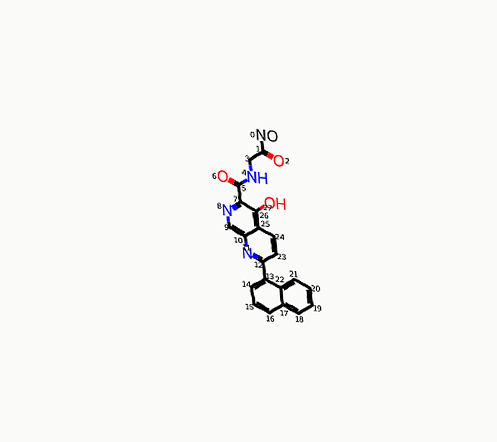 O=NC(=O)CNC(=O)c1ncc2nc(-c3cccc4ccccc34)ccc2c1O